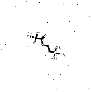 C[Si](C)(C)CCOC(=O)C(F)(F)F